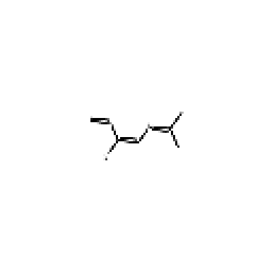 C=N/C(S)=C\N=C(C)C